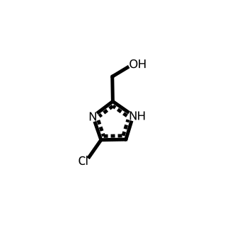 OCc1nc(Cl)c[nH]1